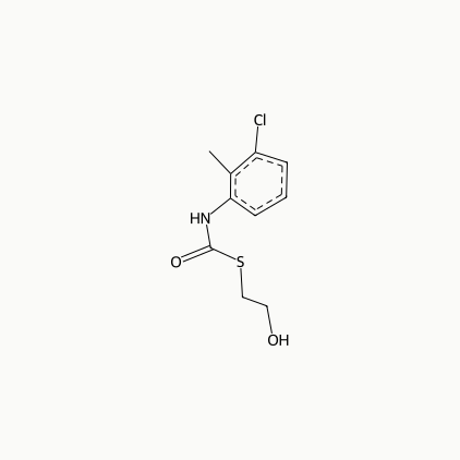 Cc1c(Cl)cccc1NC(=O)SCCO